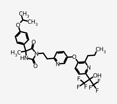 CCCc1nc(C(O)(C(F)(F)F)C(F)(F)F)ccc1Oc1ccc(CCN2C(=O)NC(C)(c3ccc(OC(C)C)cc3)C2=O)nc1